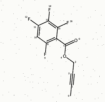 CC#CCOC(=O)c1c(F)cc(F)c(F)c1F